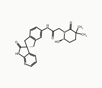 CC1(C)CC[C@@H](O)N(CC(=O)Nc2ccc3c(c2)C[C@@]2(C3)C(=O)Nc3ncccc32)C1=O